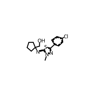 Cn1nc(-c2ccc(Cl)cc2)sc1=NC1(CO)CCCC1